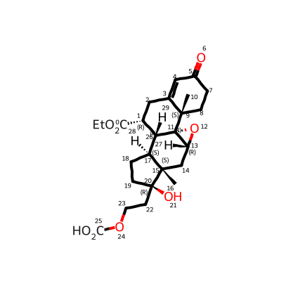 CCOC(=O)[C@@H]1CC2=CC(=O)CC[C@]2(C)[C@@]23O[C@@H]2C[C@@]2(C)[C@@H](CC[C@@]2(O)CCOC(=O)O)[C@H]13